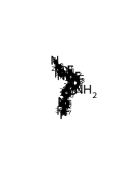 CC(C)(C#N)c1nnc(-c2cc3c(cc2F)C(F)(F)C[C@@H](N)C(=O)N3Cc2ccc(-c3ccc(C(F)(F)F)cn3)cc2)o1